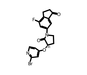 O=C1CCc2c(F)cc(N3CC[C@@H](Oc4ccnc(Br)c4)C3=O)cc21